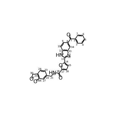 O=C(c1ccccc1)c1ccc2[nH]c(-c3ccc(C(=O)NCc4ccc5c(c4)OOC5)o3)nc2c1